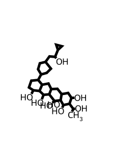 CC(O)C1C(O)CC2CC3CC4C(C5CCC(CC(O)C6CC6)CC5)CCC(O)C4C(O)C3C(O)C2(O)C1O